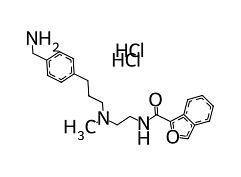 CN(CCCc1ccc(CN)cc1)CCNC(=O)c1occ2ccccc12.Cl.Cl